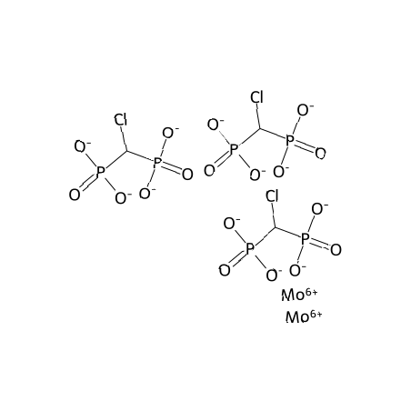 O=P([O-])([O-])C(Cl)P(=O)([O-])[O-].O=P([O-])([O-])C(Cl)P(=O)([O-])[O-].O=P([O-])([O-])C(Cl)P(=O)([O-])[O-].[Mo+6].[Mo+6]